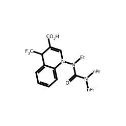 CCCN(CCC)C(=O)N(CC)N1C=C(C(=O)O)C(C(F)(F)F)c2cc[c]cc21